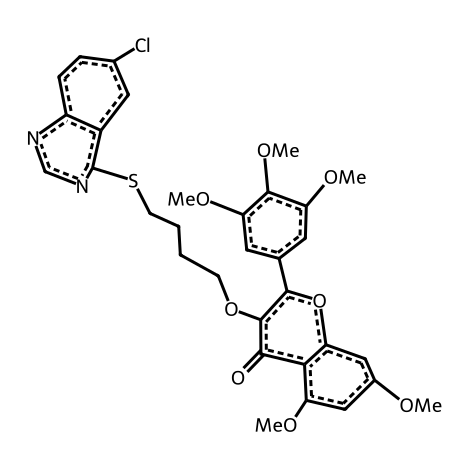 COc1cc(OC)c2c(=O)c(OCCCCSc3ncnc4ccc(Cl)cc34)c(-c3cc(OC)c(OC)c(OC)c3)oc2c1